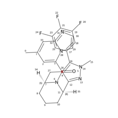 Cc1cc(C(=O)N2[C@H]3CCC[C@@H]2c2nn(C)c(-c4cc(F)c(F)c(F)c4)c2C3)n2ccnc2c1